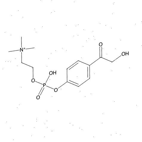 C[N+](C)(C)CCOP(=O)(O)Oc1ccc(C(=O)CO)cc1